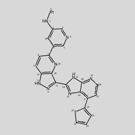 CC(C)Nc1cncc(-c2ccc3[nH]nc(-c4nc5c(-c6cccs6)ccnc5[nH]4)c3n2)c1